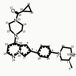 C[C@H]1CN(c2ccc(-c3cc4c(N5CCN(C(=O)C6CC6)CC5)ccnn4c3)cc2)CCN1